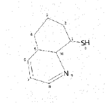 SC1CCCC2C=CC=NC12